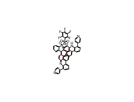 O=S(=O)(NS(=O)(=O)c1c(F)c(F)c(F)c(F)c1F)c1ccccc1-c1c2cc/c(=N/c3c(-c4ccncc4)cccc3-c3ccncc3)cc-2oc2cc(Nc3c(-c4ccncc4)cccc3-c3ccncc3)ccc12